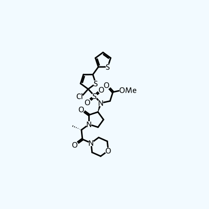 COC(=O)CN([C@H]1CCN([C@@H](C)C(=O)N2CCOCC2)C1=O)S(=O)(=O)C1(Cl)C=CC(c2cccs2)S1